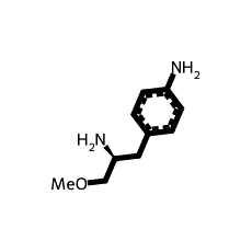 COC[C@@H](N)Cc1ccc(N)cc1